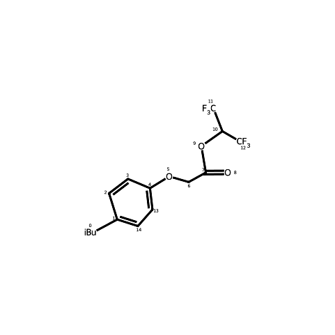 CCC(C)c1ccc(OCC(=O)OC(C(F)(F)F)C(F)(F)F)cc1